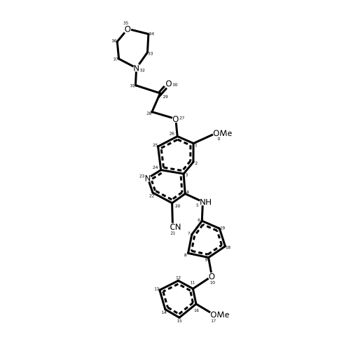 COc1cc2c(Nc3ccc(Oc4ccccc4OC)cc3)c(C#N)cnc2cc1OCC(=O)CN1CCOCC1